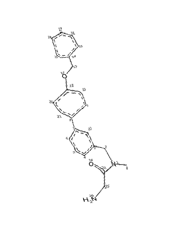 CN(Cc1cccc(-c2ccc(OCc3ccccc3)cc2)c1)C(=O)CN